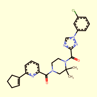 CC1(C)CN(C(=O)c2cccc(C3=CCCC3)n2)CCN1C(=O)c1ncn(-c2cccc(Cl)c2)n1